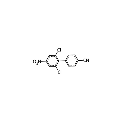 N#Cc1ccc(-c2c(Cl)cc([N+](=O)[O-])cc2Cl)cc1